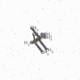 CC#CC#CC#Cc1cc(-c2ccc(C)s2)c(CCCCCCCCCCCCCCCCC)c2sc3cc4c(cc3c12)sc1c(CCCCCCCCCCCCCCCCC)c(-c2ccc(/C=c3\nc(OC)/c(=C/C)nc3OC)s2)cc(CCCCCCCCCCCCCCCCC)c14